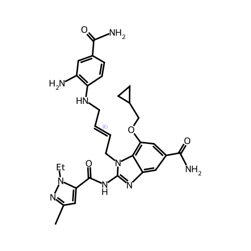 CCn1nc(C)cc1C(=O)Nc1nc2cc(C(N)=O)cc(OCC3CC3)c2n1C/C=C/CNc1ccc(C(N)=O)cc1N